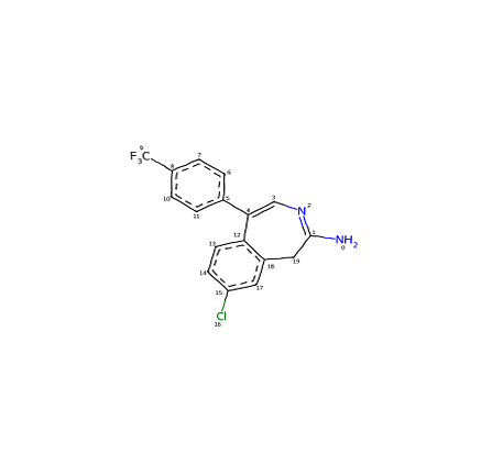 NC1=NC=C(c2ccc(C(F)(F)F)cc2)c2ccc(Cl)cc2C1